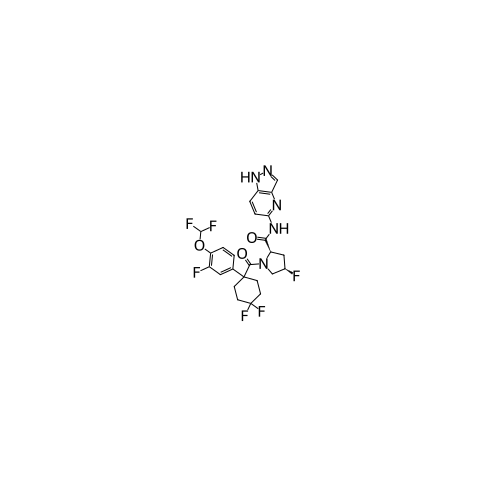 O=C(Nc1ccc2[nH]ncc2n1)[C@H]1C[C@@H](F)CN1C(=O)C1(c2ccc(OC(F)F)c(F)c2)CCC(F)(F)CC1